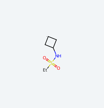 CCS(=O)(=O)NC1C[CH]C1